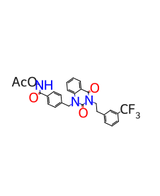 CC(=O)ONC(=O)c1ccc(Cn2c(=O)n(CCc3cccc(C(F)(F)F)c3)c(=O)c3ccccc32)cc1